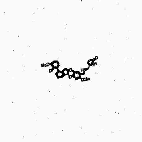 COc1cccc(-c2cccc3c2CC[C@@H]3Oc2nc(OC)c(CNC[C@@H]3CCC(=O)N3)cc2Cl)c1Cl